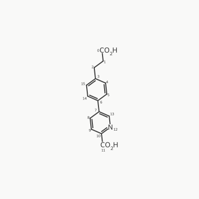 O=C(O)CCc1ccc(-c2ccc(C(=O)O)nc2)cc1